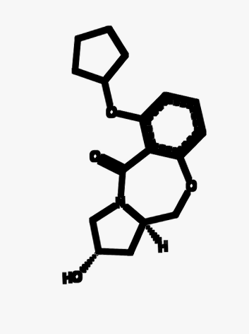 O=C1c2c(cccc2OC2CCCC2)OC[C@H]2C[C@H](O)CN12